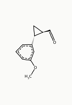 COc1cccc([C@@H]2C[C@H]2C=O)c1